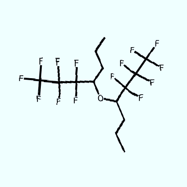 CCCC(OC(CCC)C(F)(F)C(F)(F)C(F)(F)F)C(F)(F)C(F)(F)C(F)(F)F